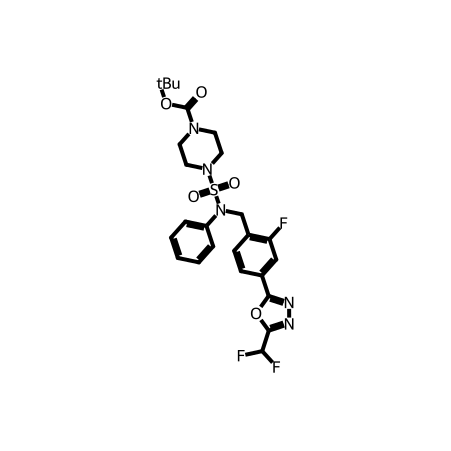 CC(C)(C)OC(=O)N1CCN(S(=O)(=O)N(Cc2ccc(-c3nnc(C(F)F)o3)cc2F)c2ccccc2)CC1